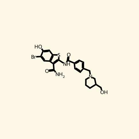 NC(=O)c1c(NC(=O)c2ccc(CN3CCCC(CO)C3)cc2)sc2cc(O)c(Br)cc12